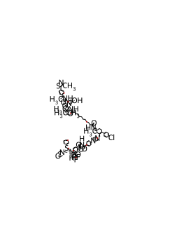 Cc1ncsc1-c1ccc([C@H](C)NC(=O)[C@@H]2C[C@@H](O)CN2C(=O)[C@@H](NC(=O)CCCCCCCCCCC(=O)NCC2(C)CCC(c3ccc(Cl)cc3)=C(CN3CCN(c4ccc(C(=O)NS(=O)(=O)c5ccc(N[C@H](CCN6CCOCC6)CSc6ccccc6)c(S(=O)(=O)C(F)(F)F)c5)cc4)CC3)C2)C(C)(C)C)cc1